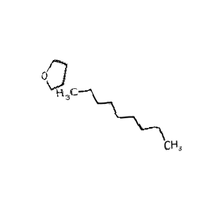 C1CCOC1.CCCCCCCCC